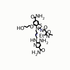 CCc1nc(C)oc1C(=O)/N=c1\sc2cc(C(N)=O)cc(OCCCO)c2n1C/C=C/CNc1ncc(C(N)=O)cc1N